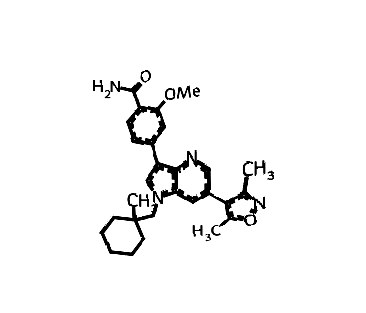 COc1cc(-c2cn(CC3(C)CCCCC3)c3cc(-c4c(C)noc4C)cnc23)ccc1C(N)=O